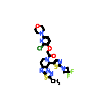 Cc1nn2c3c(nc2s1)CCN(C(=O)COc1ccc(N2CCOCC2)nc1Cl)C3c1cnc(N2CC(F)(F)C2)s1